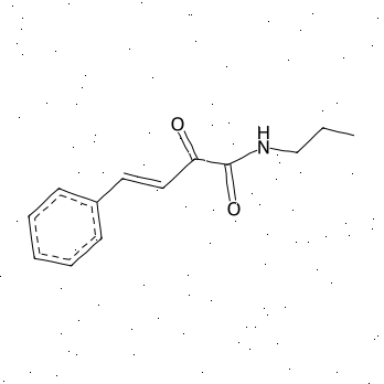 CCCNC(=O)C(=O)/C=C/c1ccccc1